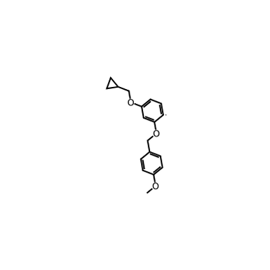 COc1ccc(COc2[c]ccc(OCC3CC3)c2)cc1